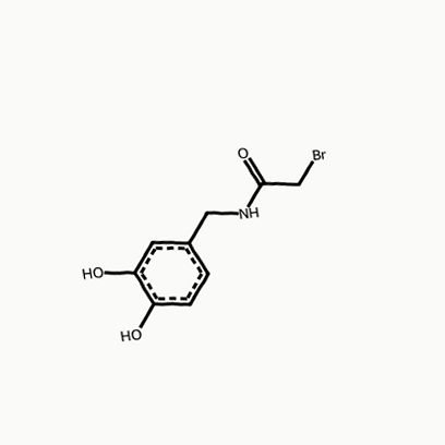 O=C(CBr)NCc1ccc(O)c(O)c1